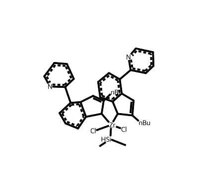 CCCCC1=Cc2c(-c3ccccn3)cccc2[CH]1[Zr]([Cl])([Cl])([CH]1C(CCCC)=Cc2c(-c3ccccn3)cccc21)[SiH](C)C